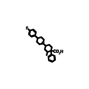 CC1CC(N2CCC(c3ccc(F)cc3)CC2)CCC1(C(=O)O)c1ccccc1